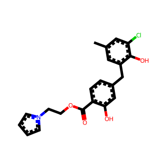 Cc1cc(Cl)c(O)c(Cc2ccc(C(=O)OCCn3cccc3)c(O)c2)c1